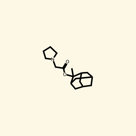 CC1(OC(=O)CN2CCCC2)C2CC3CC(C2)CC1C3